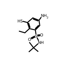 CCc1c(S)cc(N)cc1S(=O)(=O)NC(C)(C)C